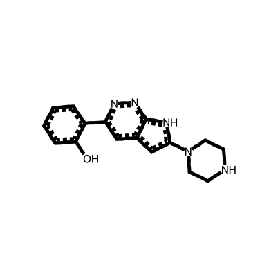 Oc1ccccc1-c1cc2cc(N3CCNCC3)[nH]c2nn1